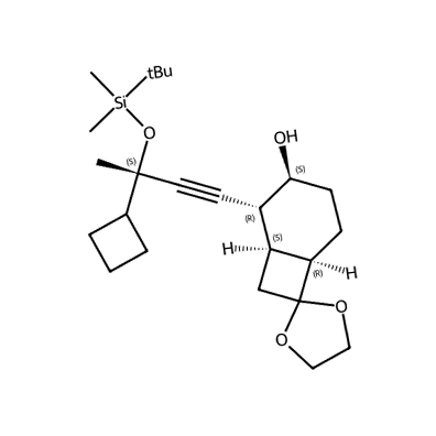 CC(C)(C)[Si](C)(C)O[C@](C)(C#C[C@H]1[C@@H]2CC3(OCCO3)[C@@H]2CC[C@@H]1O)C1CCC1